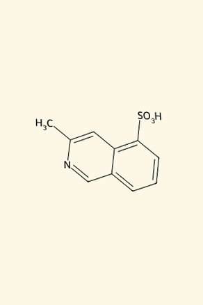 Cc1cc2c(S(=O)(=O)O)cccc2cn1